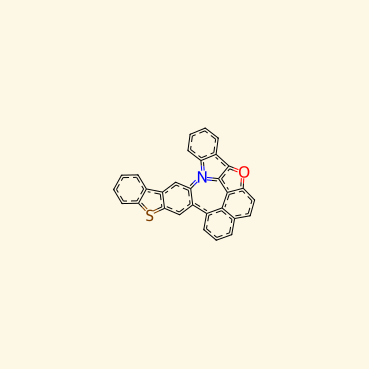 c1ccc2c(c1)sc1cc3c4cccc5ccc6oc7c8ccccc8n(c3cc12)c7c6c54